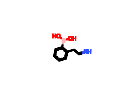 N=CCc1ccccc1B(O)O